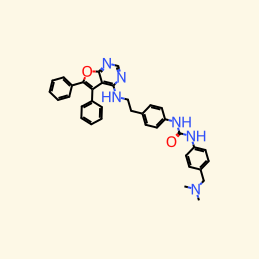 CN(C)Cc1ccc(NC(=O)Nc2ccc(CCNc3ncnc4oc(-c5ccccc5)c(-c5ccccc5)c34)cc2)cc1